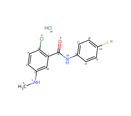 CNc1ccc(Cl)c(C(=O)Nc2ccc(F)cc2)c1.Cl